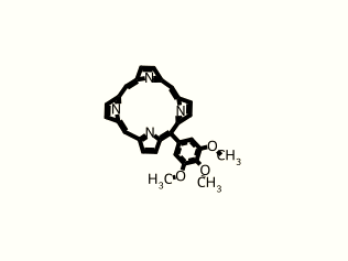 COc1cc(C2=C3C=CC(=N3)C=C3C=CC(=N3)C=C3C=CC(=N3)C=C3C=CC2=N3)cc(OC)c1OC